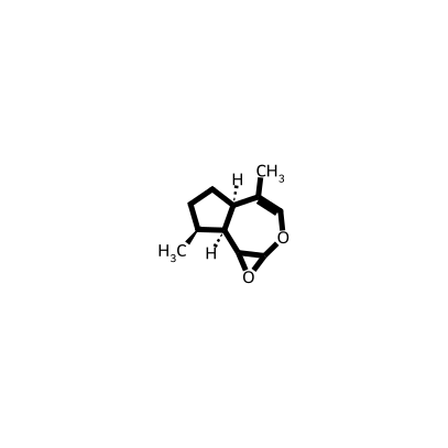 CC1=COC2OC2[C@H]2[C@@H](C)CC[C@@H]12